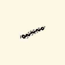 Fc1ccc(-c2cc3sc(-c4nc5sc(-c6cc7sc(-c8ccc(F)cc8)cc7s6)nc5s4)cc3s2)cc1